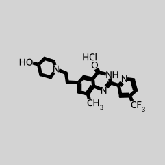 Cc1cc(CCN2CCC(O)CC2)cc2c(=O)[nH]c(-c3cc(C(F)(F)F)ccn3)nc12.Cl